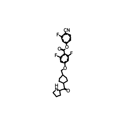 N#Cc1ccc(OC(=O)c2c(F)cc(OCC3CCC(C(=O)C4CCCN4)CC3)cc2F)cc1F